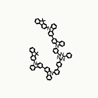 CC1(C)c2ccccc2-c2ccc(-n3c4ccccc4c4cc(-c5ccc6c(c5)c5ccccc5n6-c5cccc(-c6ccc(-c7nc(-c8ccccc8)nc(-c8cccc(-n9c%10ccccc%10c%10cc(-c%11ccc%12c(c%11)c%11ccccc%11n%12-c%11ccc%12c(c%11)C(C)(C)c%11ccccc%11-%12)ccc%109)c8)n7)cc6)c5)ccc43)cc21